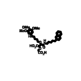 COc1cc(NCCCCOC(C(=O)NCCCCCc2ccc3ccccc3c2)C(OCC(=O)O)C(=O)O)cc(OC)c1OC